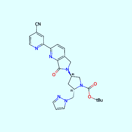 CC(C)(C)OC(=O)N1C[C@H](N2Cc3ccc(-c4cc(C#N)ccn4)nc3C2=O)C[C@H]1Cn1cccn1